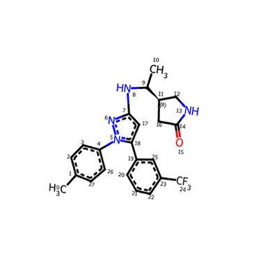 Cc1ccc(-n2nc(NC(C)[C@H]3CNC(=O)C3)cc2-c2cccc(C(F)(F)F)c2)cc1